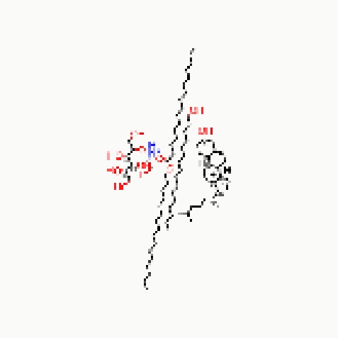 CC(C)CCC[C@@H](C)[C@H]1CC[C@H]2[C@@H]3CC=C4C[C@@H](O)CC[C@]4(C)[C@H]3CC[C@]12C.CCCCCCCCCCCCCCCCO.CCCCCCCCCCCCCCCCOC(=O)CCCCCCCCCCCCCCC.NCCO.O=C(CO)[C@@H](O)[C@H](O)[C@H](O)CO